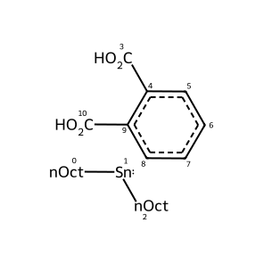 CCCCCCC[CH2][Sn][CH2]CCCCCCC.O=C(O)c1ccccc1C(=O)O